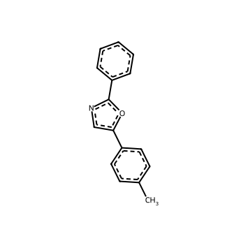 Cc1ccc(-c2cnc(-c3ccccc3)o2)cc1